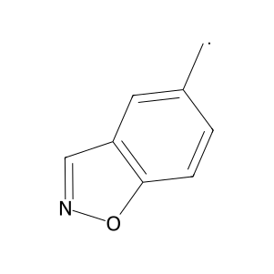 [CH2]c1ccc2oncc2c1